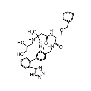 CC(C)(CC(=O)N[C@H](COCc1ccccc1)C(=O)NCc1ccc(-c2ccccc2-c2nnn[nH]2)cc1)NC[C@H](O)CO